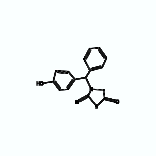 O=C1CN(C(c2ccccc2)c2ccc(O)cc2)C(=O)S1